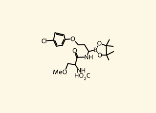 COCC(NC(=O)O)C(=O)NC(CCOc1ccc(Cl)cc1)B1OC(C)(C)C(C)(C)O1